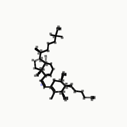 CC1=C(/C=C\C2=CCC[C@]3(C)[C@@H]([C@@H](C)CCCC(C)(C)O)CC[C@@H]23)C[C@@H](O)[C@@H](OCCCO)[C@H]1O